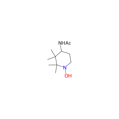 CC(=O)NC1CCN(O)C(C)(C)C1(C)C